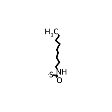 CCCCCCCCCNC(=O)[S]